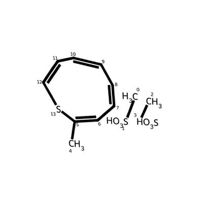 CS(=O)(=O)O.CS(=O)(=O)O.Cc1cccccccs1